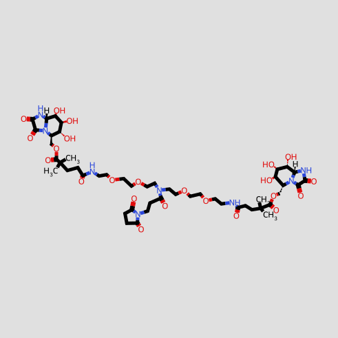 CC(C)(CCC(=O)NCCOCCOCCN(CCOCCOCCNC(=O)CCC(C)(C)C(=O)OC[C@@H]1[C@@H](O)[C@H](O)[C@H](O)[C@H]2NC(=O)C(=O)N12)C(=O)CCN1C(=O)CCC1=O)C(=O)OC[C@@H]1[C@@H](O)[C@H](O)[C@H](O)[C@H]2NC(=O)C(=O)N12